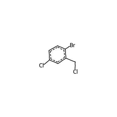 ClCc1cc(Cl)ccc1Br